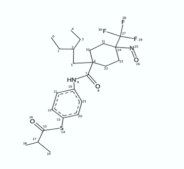 CCC(CC)CC1(C(=O)Nc2ccc(SC(=O)C(C)C)cc2)CCC(N=O)(C(F)(F)F)CC1